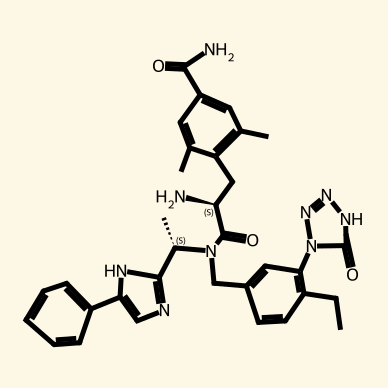 CCc1ccc(CN(C(=O)[C@@H](N)Cc2c(C)cc(C(N)=O)cc2C)[C@@H](C)c2ncc(-c3ccccc3)[nH]2)cc1-n1nn[nH]c1=O